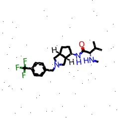 CN[C@H](C(=O)N[C@@H]1CC[C@H]2CN(Cc3ccc(C(F)(F)F)cc3)C[C@H]21)C(C)C